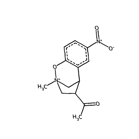 CC(=O)C1C[N+]2(C)CC1c1cc([N+](=O)[O-])ccc1O2